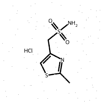 Cc1nc(CS(N)(=O)=O)cs1.Cl